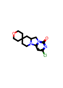 O=c1nc(Cl)cc2n1CC1CC3(CCOCC3)CCN21